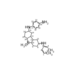 C/C=C\C(=C/C)NC1CCC2C(C1)C1CC(Nc3ccc(N)cc3)CCC1N2C